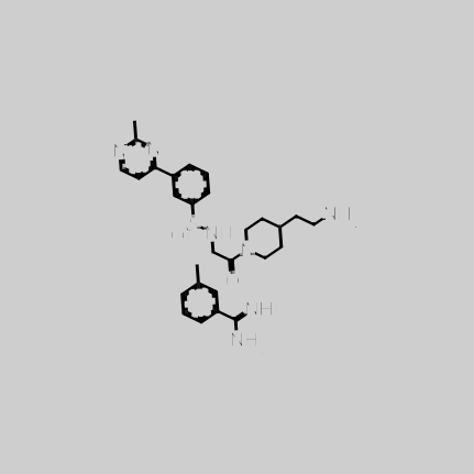 Cc1nccc(-c2cccc([S+]([O-])N[C@@H](Cc3cccc(C(=N)N)c3)C(=O)N3CCC(CCN)CC3)c2)n1